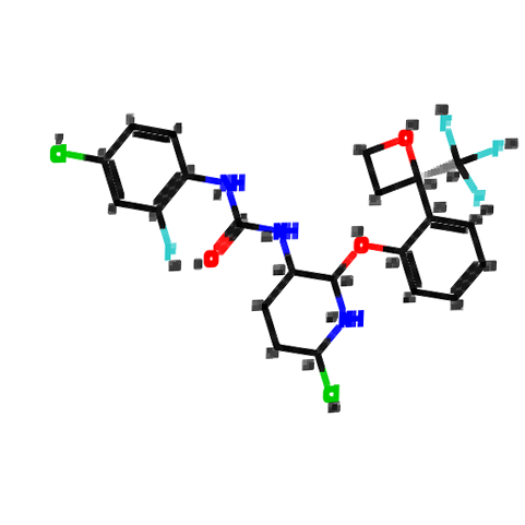 O=C(Nc1ccc(Cl)cc1F)NC1CCC(Cl)NC1Oc1ccccc1[C@@]1(C(F)(F)F)CCO1